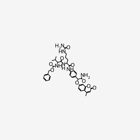 Cc1cc(=O)oc2cc(OC(C(N)=O)c3ccc(NC(=O)C(CCCNC(N)=O)NC(=O)C(NC(=O)OCc4ccccc4)C(C)C)cc3)ccc12